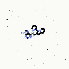 c1ccc(-c2c(CNc3ncnc4[nH]cnc34)cc3ccccn23)nc1